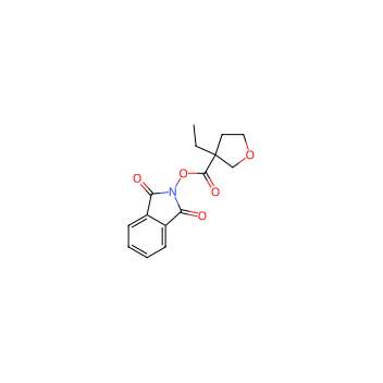 CCC1(C(=O)ON2C(=O)c3ccccc3C2=O)CCOC1